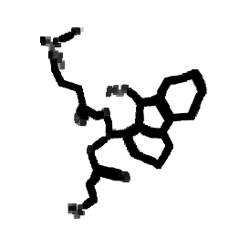 CCCC(=O)[O][Ti+]([O]C(=O)CCC)[CH]1CCCC2=C1C(C)C1=C2CCCC1.C[O-]